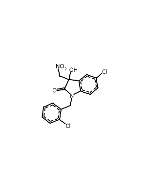 O=C1N(Cc2ccccc2Cl)c2ccc(Cl)cc2C1(O)C[N+](=O)[O-]